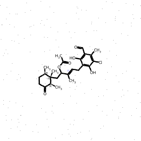 CC(=O)OC(C[C@@]1(C)[C@H](C)CCC(=O)[C@@H]1C)/C(C)=C/Cc1c(O)c(Cl)c(C)c(C=O)c1O